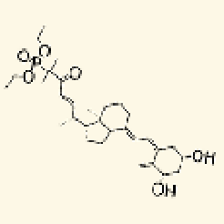 C=C1/C(=C\C=C2/CCC[C@@]3(C)C2CC[C@@H]3[C@H](C)/C=C/C(=O)C(C)(C)P(=O)(OCC)OCC)C[C@@H](O)C[C@@H]1O